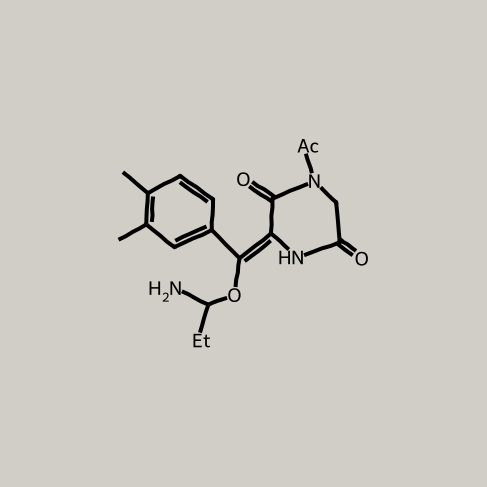 CCC(N)O/C(=C1\NC(=O)CN(C(C)=O)C1=O)c1ccc(C)c(C)c1